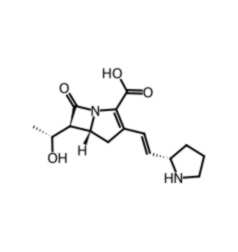 C[C@@H](O)[C@H]1C(=O)N2C(C(=O)O)=C(C=C[C@@H]3CCCN3)C[C@H]12